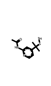 CC(=O)Nc1cc(C(C)(C)SS)ccn1